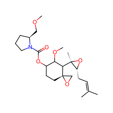 COC[C@@H]1CCCN1C(=O)OC1CC[C@]2(CO2)C([C@@]2(C)O[C@@H]2CC=C(C)C)C1OC